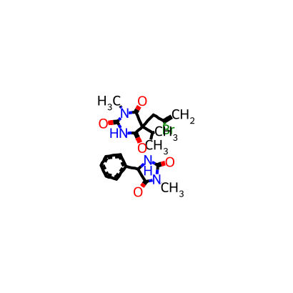 C=C(Br)CC1(C(C)C)C(=O)NC(=O)N(C)C1=O.CN1C(=O)NC(c2ccccc2)C1=O